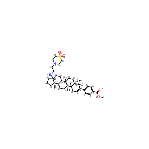 COC(=O)c1ccc(C2=CCC3(C)[C@H]4CCC5[C@H]6CCC[C@]6(NCCN6CCS(=O)(=O)CC6)CC[C@@]5(C)[C@]4(C)CC[C@H]3C2(C)C)cc1